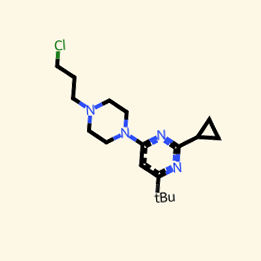 CC(C)(C)c1cc(N2CCN(CCCCl)CC2)nc(C2CC2)n1